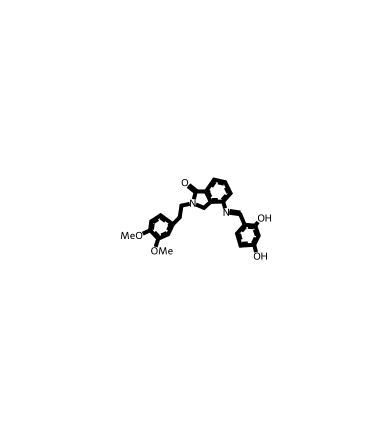 COc1ccc(CCN2Cc3c(/N=C/c4ccc(O)cc4O)cccc3C2=O)cc1OC